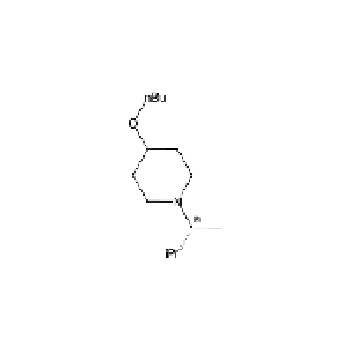 CCCCOC1CCN([C@H](C)C(C)C)CC1